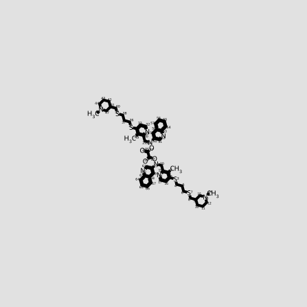 Cc1c(SCCCSCC2CCCN(C)C2)ccnc1CN(OC(=O)C(=O)ON(Cc1nccc(SCCCSCC2CCCN(C)C2)c1C)c1cnc2ccccc2c1)c1cnc2ccccc2c1